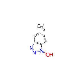 Cc1ccc2c(c1)nnn2O